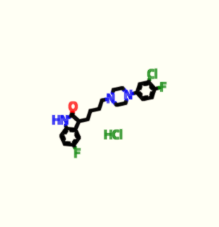 Cl.O=C1Nc2ccc(F)cc2C1CCCCN1CCN(c2ccc(F)c(Cl)c2)CC1